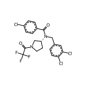 O=C(c1ccc(Cl)cc1)N(Cc1ccc(Cl)c(Cl)c1)[C@@H]1CCN(C(=O)C(F)(F)F)C1